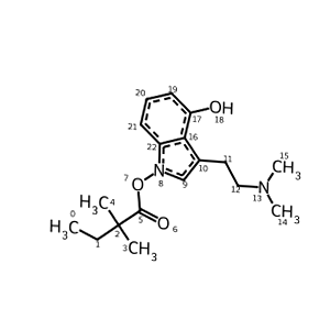 CCC(C)(C)C(=O)On1cc(CCN(C)C)c2c(O)cccc21